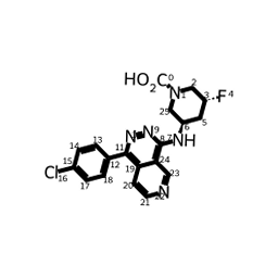 O=C(O)N1C[C@H](F)C[C@@H](Nc2nnc(-c3ccc(Cl)cc3)c3ccncc23)C1